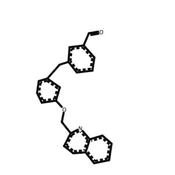 O=Cc1cccc(Cc2cccc(OCc3ccc4ccccc4n3)c2)c1